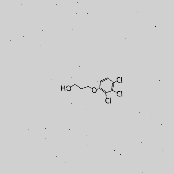 OCCCOc1ccc(Cl)c(Cl)c1Cl